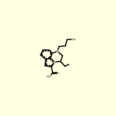 CCC1CN(CCCO)c2cccc3cc(C(=O)O)n1c23